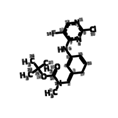 CN(C=C1C=C(Nc2nc(Cl)ncc2F)C=CC1)C(=O)OC(C)(C)C